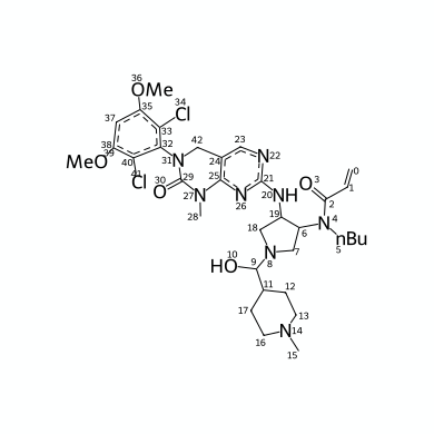 C=CC(=O)N(CCCC)C1CN(C(O)C2CCN(C)CC2)CC1Nc1ncc2c(n1)N(C)C(=O)N(c1c(Cl)c(OC)cc(OC)c1Cl)C2